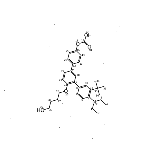 CCN(CC)c1ccc(-c2cc(-c3ccc(OC(=O)O)cc3)ccc2OCCCCO)cc1C(C)(C)C